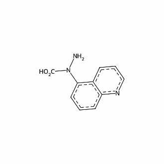 NN(C(=O)O)c1cccc2ncccc12